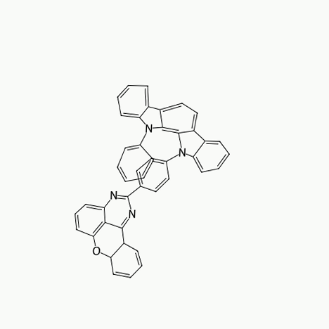 C1=CC2Oc3cccc4nc(-c5ccc(-n6c7ccccc7c7ccc8c9ccccc9n(-c9ccccc9)c8c76)cc5)nc(c34)C2C=C1